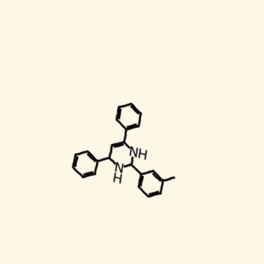 Cc1cccc(C2NC(c3ccccc3)=CC(c3ccccc3)N2)c1